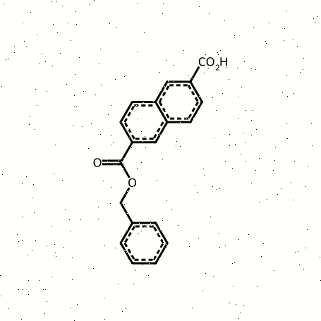 O=C(O)c1ccc2cc(C(=O)OCc3ccccc3)ccc2c1